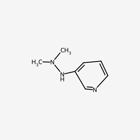 CN(C)Nc1cccnc1